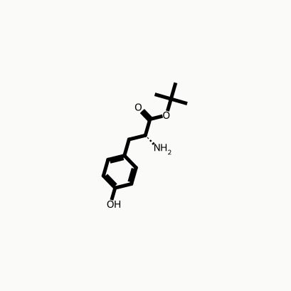 CC(C)(C)OC(=O)[C@H](N)Cc1ccc(O)cc1